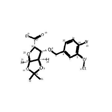 CCOc1cc(CO[C@@H]2[C@H]3OC(C)(C)O[C@H]3O[C@@H]2C(=O)CC)ccc1Br